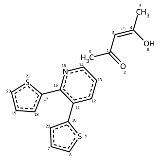 CC(=O)/C=C(/C)O.c1csc(-c2cccnc2-c2cccs2)c1